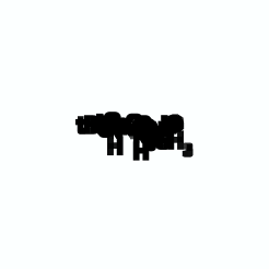 COC(=O)[C@@H](CCCCNC(=O)OC(C)(C)C)NC(=O)c1scc(C)c1NC(=O)CN1CCCCCC1